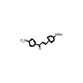 CNc1ccc(C=CC(=O)c2ccc([N+](=O)[O-])cc2)cc1